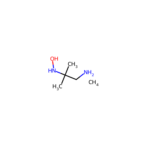 C.CC(C)(CN)NO